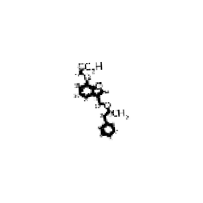 C[C@@H](Cc1ccccc1)OCc1coc2c(OCC(=O)O)cccc12